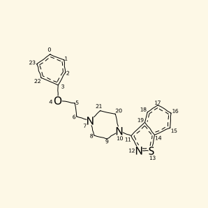 c1ccc(OCCN2CCN(c3nsc4ccccc34)CC2)cc1